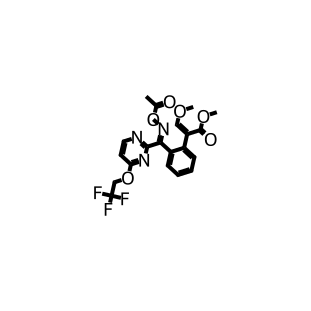 COC=C(C(=O)OC)c1ccccc1C(=NOC(C)=O)c1nccc(OCC(F)(F)F)n1